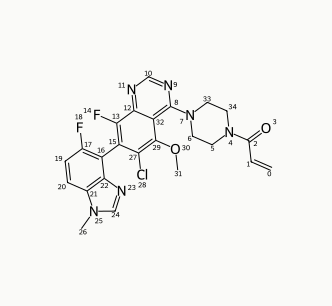 C=CC(=O)N1CCN(c2ncnc3c(F)c(-c4c(F)ccc5c4ncn5C)c(Cl)c(OC)c23)CC1